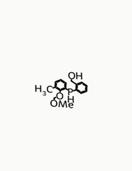 COCOc1c(C)cccc1Pc1ccccc1CO